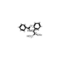 CC(=O)O[C@@H](C(=O)O)[C@@H](NC(=O)c1ccccc1)c1ccccc1